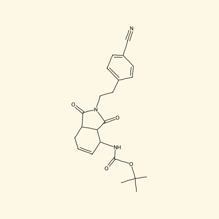 CC(C)(C)OC(=O)NC1C=CCC2C(=O)N(CCc3ccc(C#N)cc3)C(=O)C12